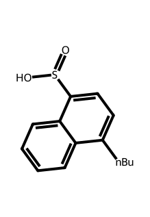 CCCCc1ccc(S(=O)O)c2ccccc12